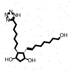 OCCCCCCC=C[C@H]1[C@H](CCCCCCc2nnn[nH]2)[C@H](O)C[C@@H]1O